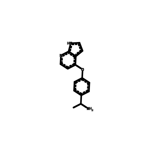 CC(N)c1ccc(Oc2ccnc3[nH]ccc23)cc1